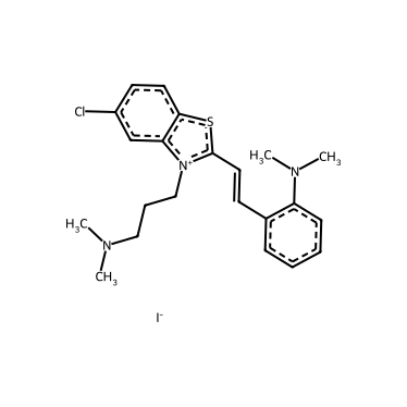 CN(C)CCC[n+]1c(C=Cc2ccccc2N(C)C)sc2ccc(Cl)cc21.[I-]